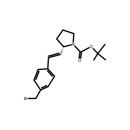 CC(C)(C)OC(=O)N1CCC[C@H]1/C=C/c1ccc(CBr)cc1